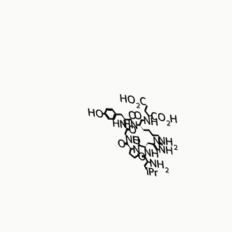 CC(C)C[C@H](N)C(=O)N[C@@H](Cc1c[nH]cn1)C(=O)N1CCC[C@H]1C(=O)NCC(=O)N[C@@H](Cc1ccc(O)cc1)C(=O)N[C@@H](CCCCN)C(=O)N[C@@H](CCC(=O)O)C(=O)O